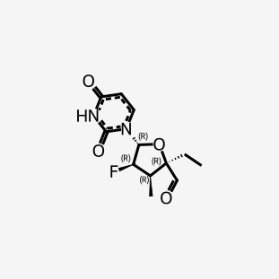 CC[C@@]1(C=O)O[C@@H](n2ccc(=O)[nH]c2=O)[C@H](F)[C@@H]1C